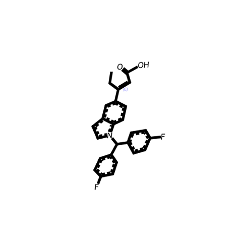 CC/C(=C\C(=O)O)c1ccc2c(ccn2C(c2ccc(F)cc2)c2ccc(F)cc2)c1